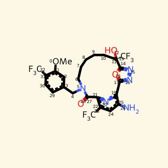 COc1cc(CN2CCCCC[C@](O)(C(F)(F)F)c3nnc(o3)-c3nc(c(C(F)(F)F)cc3N)C2=O)ccc1C(F)(F)F